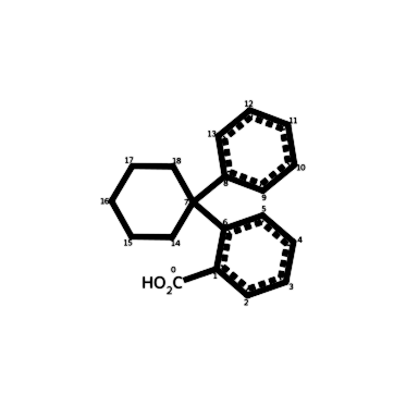 O=C(O)c1ccccc1C1(c2ccccc2)CCCCC1